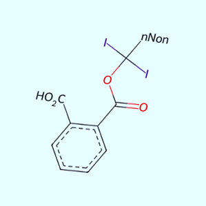 CCCCCCCCCC(I)(I)OC(=O)c1ccccc1C(=O)O